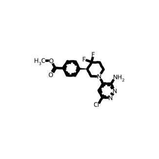 COC(=O)c1ccc([C@@H]2CN(c3cc(Cl)nnc3N)CCC2(F)F)cc1